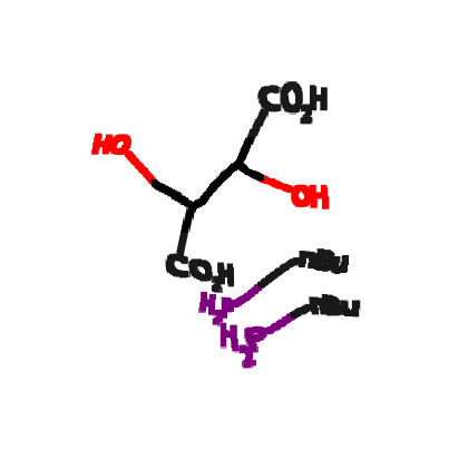 CCCCP.CCCCP.O=C(O)C(O)C(O)C(=O)O